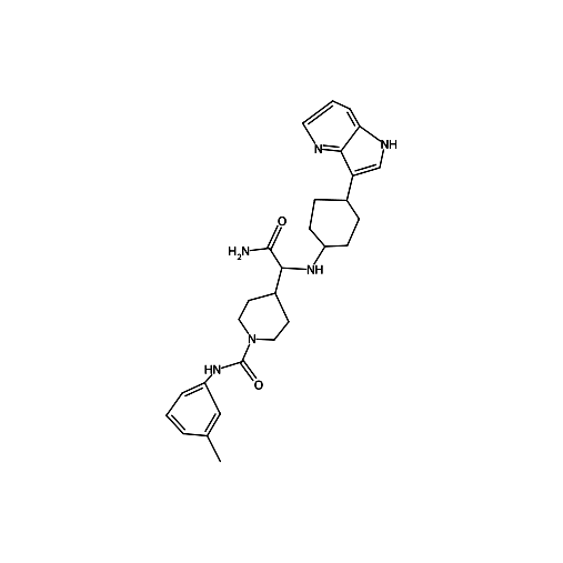 Cc1cccc(NC(=O)N2CCC(C(NC3CCC(c4c[nH]c5cccnc45)CC3)C(N)=O)CC2)c1